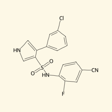 N#Cc1ccc(NS(=O)(=O)c2c[nH]cc2-c2cccc(Cl)c2)c(F)c1